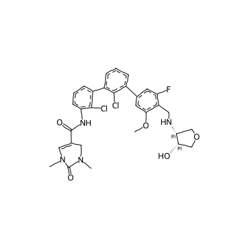 COc1cc(-c2cccc(-c3cccc(NC(=O)C4=CN(C)C(=O)N(C)C4)c3Cl)c2Cl)cc(F)c1CN[C@@H]1COC[C@@H]1O